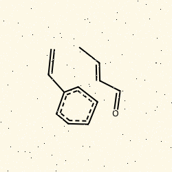 C=Cc1ccccc1.CC=C[C]=O